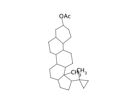 CC(=O)OC1CCC2C(CCC3C2CCC2C3CCC3CCC(C4(C)CC4)C32C)C1